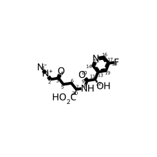 [N-]=[N+]=CC(=O)CC[C@H](NC(=O)[C@H](O)c1cncc(F)c1)C(=O)O